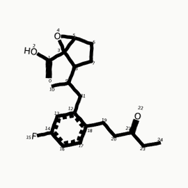 C=C(O)C12OC1CCC2C(C)Cc1cc(F)ccc1CCC(=O)CC